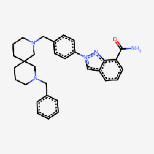 NC(=O)c1cccc2cn(-c3ccc(CN4CCCC5(CCCN(Cc6ccccc6)C5)C4)cc3)nc12